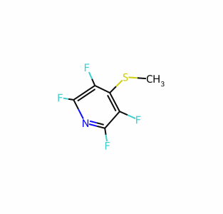 CSc1c(F)c(F)nc(F)c1F